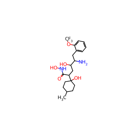 CC1CCC(O)(C(CC(O)C(N)Cc2ccccc2OC(F)(F)F)C(=O)NO)CC1